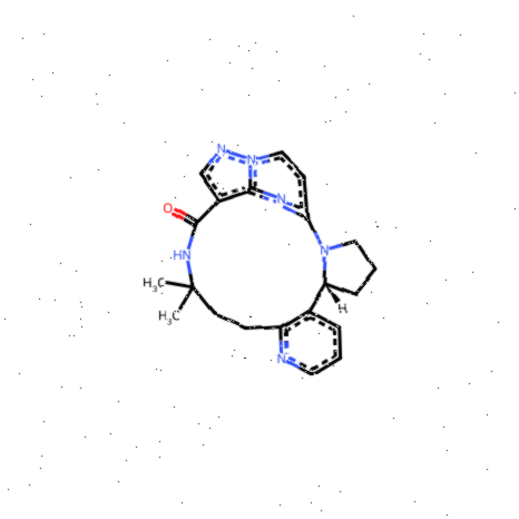 CC1(C)CCc2ncccc2[C@H]2CCCN2c2ccn3ncc(c3n2)C(=O)N1